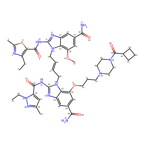 CCc1nc(C)sc1C(=O)Nc1nc2cc(C(N)=O)cc(OC)c2n1C/C=C/Cn1c(NC(=O)c2cc(C)nn2CC)nc2cc(C(N)=O)cc(OCCCN3CCN(C(=O)C4CCC4)CC3)c21